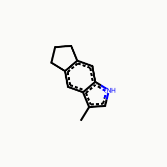 Cc1c[nH]c2cc3c(cc12)CCC3